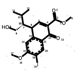 COC(=O)C1=CC([C@H](CO)C(C)C)c2cc(OC)c(I)cc2C1=O